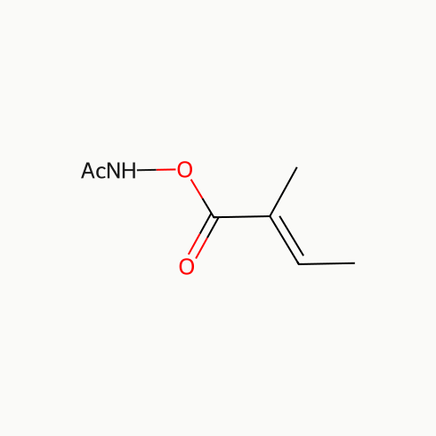 C/C=C(\C)C(=O)ONC(C)=O